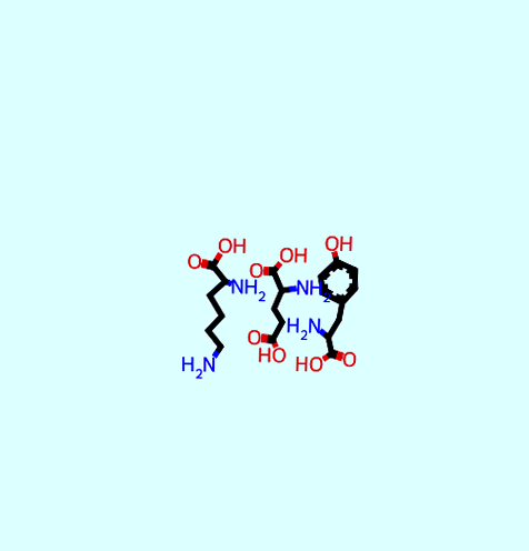 NC(CCC(=O)O)C(=O)O.NC(Cc1ccc(O)cc1)C(=O)O.NCCCCC(N)C(=O)O